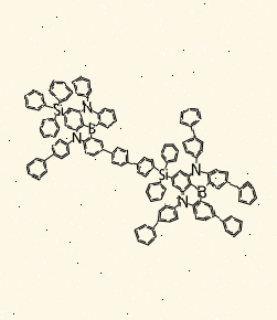 c1ccc(-c2ccc(N3c4ccc(-c5ccc(-c6ccc([Si](c7ccccc7)(c7ccccc7)c7cc8c9c(c7)N(c7ccc(-c%10ccccc%10)cc7)c7ccc(-c%10ccccc%10)cc7B9c7cc(-c9ccccc9)ccc7N8c7ccc(-c8ccccc8)cc7)cc6)cc5)cc4B4c5ccccc5N(c5ccccc5)c5cc([Si](c6ccccc6)(c6ccccc6)c6ccccc6)cc3c54)cc2)cc1